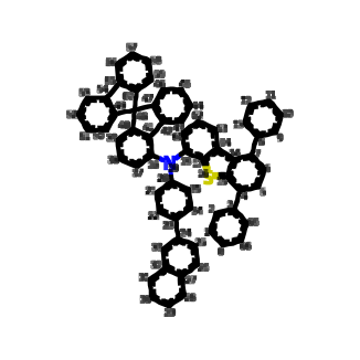 c1ccc(-c2ccc(-c3ccccc3)c3c2sc2c(N(c4ccc(-c5ccc6ccccc6c5)cc4)c4cccc5c4-c4ccccc4C54c5ccccc5-c5ccccc54)cccc23)cc1